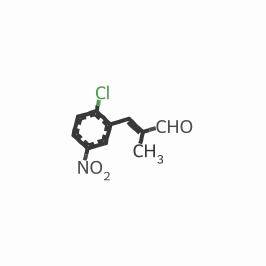 CC(C=O)=Cc1cc([N+](=O)[O-])ccc1Cl